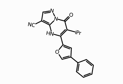 CC(C)c1c(-c2cc(-c3ccccc3)co2)[nH]c2c(C#N)cnn2c1=O